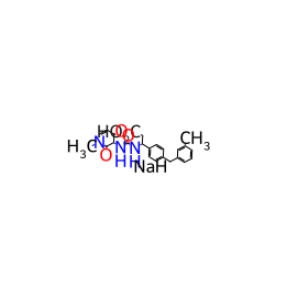 Cc1cccc(Cc2ccc(C(CC(=O)O)NC(=O)NC3C(=O)C=CN(C)C3=O)cc2)c1.[NaH]